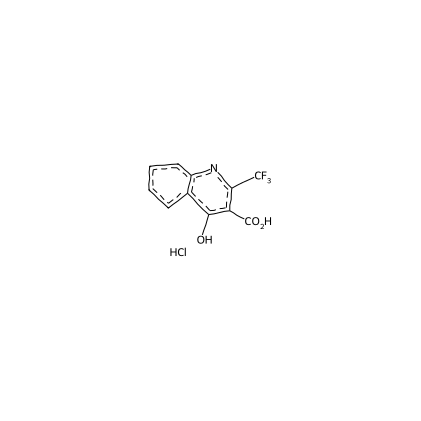 Cl.O=C(O)c1c(C(F)(F)F)nc2ccccc2c1O